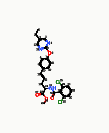 CCc1cnc(Oc2ccc(/C=C/CC(NC(=O)c3c(Cl)cccc3Cl)C(=O)OC)cc2)nc1